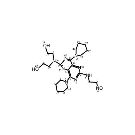 O=NCCNc1nc(N2CCCCC2)c2nc(N(CCO)CCO)nc(N3CCCCC3)c2n1